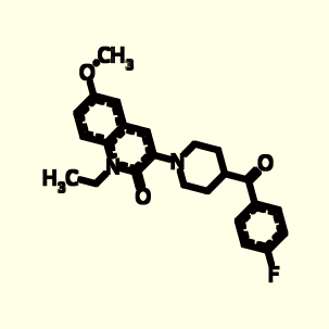 CCn1c(=O)c(N2CCC(C(=O)c3ccc(F)cc3)CC2)cc2cc(OC)ccc21